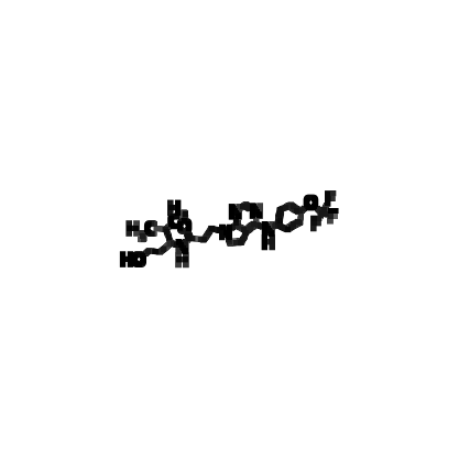 CC(C)C(CCO)NC(=O)CCn1ccc2c(Nc3ccc(OC(F)(F)F)cc3)ncnc21